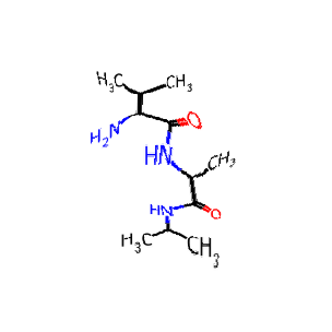 CC(C)NC(=O)[C@H](C)NC(=O)[C@@H](N)C(C)C